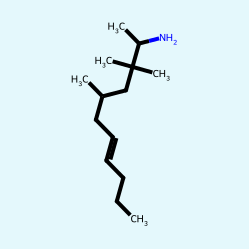 CCCC=CCC(C)CC(C)(C)C(C)N